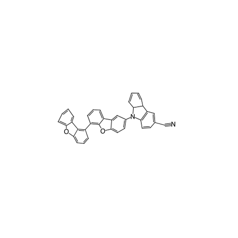 N#Cc1ccc2c(c1)C1C=CC=CC1N2c1ccc2oc3c(-c4cccc5oc6ccccc6c45)cccc3c2c1